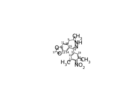 Cc1cc(C2=NN[C@H](C)Cc3cc4c(cc32)OCO4)cc(C)c1[N+](=O)[O-]